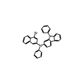 Brc1cc(N(c2ccccc2)c2ccc3c4ccccc4n(-c4ccccc4)c3c2)cc2ccccc12